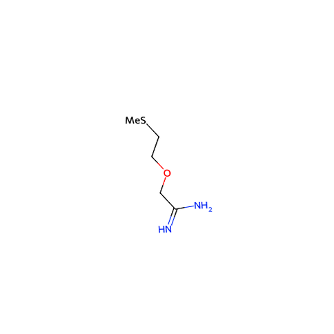 CSCCOCC(=N)N